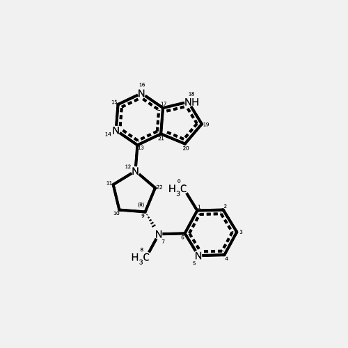 Cc1cccnc1N(C)[C@@H]1CCN(c2ncnc3[nH]ccc23)C1